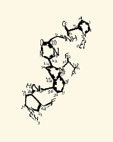 CCn1cccc1C(=O)NCc1nc(-c2cc3c(N[C@@H]4CCN(C)C[C@@H]4F)cccc3n2C(F)C(F)F)no1